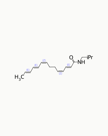 C/C=C/C=C/C=C\CC/C=C\C=C\C(=O)NCC(C)C